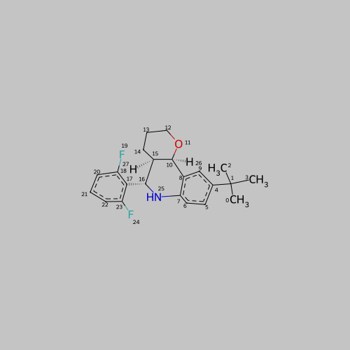 CC(C)(C)c1ccc2c(c1)[C@@H]1OCCC[C@@H]1[C@@H](c1c(F)cccc1F)N2